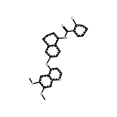 COc1cc2nccc(Oc3ccc4c(NC(=O)c5ccccc5F)cccc4c3)c2cc1OC